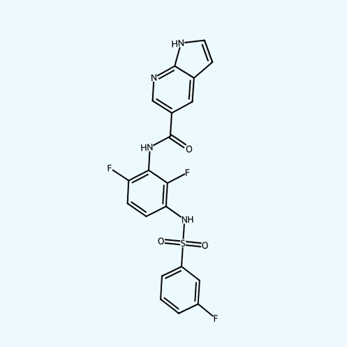 O=C(Nc1c(F)ccc(NS(=O)(=O)c2cccc(F)c2)c1F)c1cnc2[nH]ccc2c1